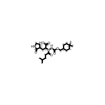 CC(C)CCC(=O)N(NC(=O)OCC1CCC(F)(F)CC1)C(CC1CCNC1=O)C(=O)O